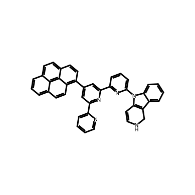 C1=Cc2c(c3ccccc3n2-c2cccc(-c3cc(-c4ccc5ccc6cccc7ccc4c5c67)cc(-c4ccccn4)n3)n2)CN1